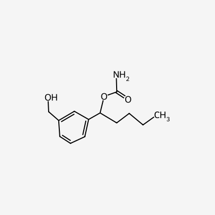 CCCCC(OC(N)=O)c1cccc(CO)c1